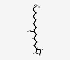 CCCCCCCC([O])CCCCC1CCO1